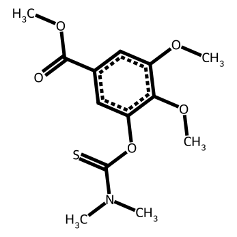 COC(=O)c1cc(OC)c(OC)c(OC(=S)N(C)C)c1